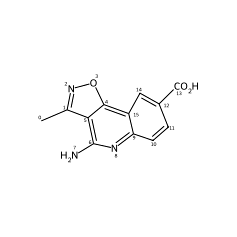 Cc1noc2c1c(N)nc1ccc(C(=O)O)cc12